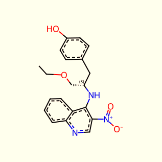 CCOC[C@H](Cc1ccc(O)cc1)Nc1c([N+](=O)[O-])cnc2ccccc12